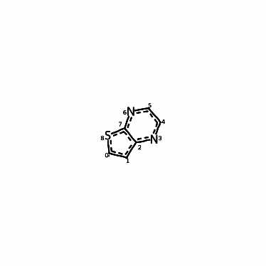 [c]1cc2nccnc2s1